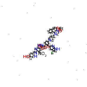 CCS(=O)(=O)N1CCN(C2CC3(CCN(c4ccc(C(=O)NS(=O)(=O)c5cnc(NCC6CCC(C)(O)CC6)c([N+](=O)[O-])c5)c(Oc5cnc6[nH]cc(F)c6c5)c4)CC3)C2)[C@H](c2ccccc2C(C)C)C1